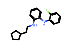 Fc1ccccc1Nc1ccccc1NCCC1CCCC1